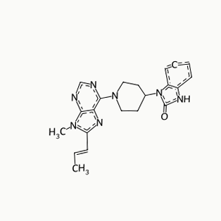 CC=Cc1nc2c(N3CCC(n4c(=O)[nH]c5ccccc54)CC3)ncnc2n1C